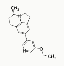 C=C1CCc2cc(-c3cncc(OCC)c3)cc3c2N1CC3